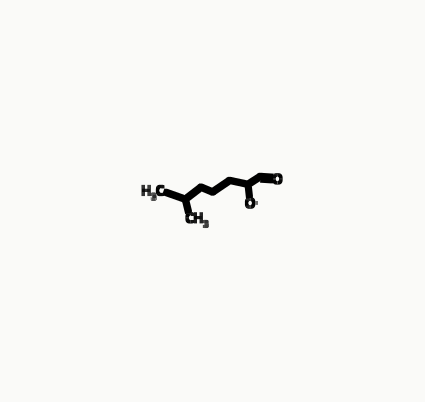 CC(C)CCCC([O])C=O